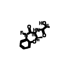 C[C@H](O)C(=O)N[C@@H]1C(=O)N(F)c2ccccc2O[C@@H]1C